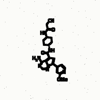 COc1cc(-c2cc(C(=O)N[C@H]3CC[C@H](NC(=O)CC#N)CC3)c3c(N)ncnn23)ccn1